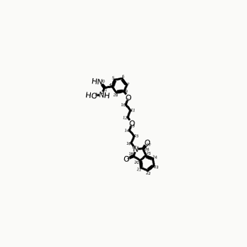 N=C(NO)c1cccc(OCCCOCCCN2C(=O)c3ccccc3C2=O)c1